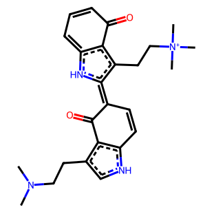 CN(C)CCc1c[nH]c2c1C(=O)C(=c1[nH]c3c(c1CC[N+](C)(C)C)C(=O)C=CC=3)C=C2